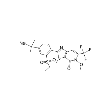 CCS(=O)(=O)c1cc(C(C)(C)C#N)ccc1-c1nc2cc(C(F)(F)F)n(OC)c(=O)c2n1C